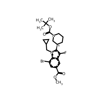 COC(=O)c1cc(Br)c2c(c1)c(F)c([C@@H]1CCCN(C(=O)OC(C)(C)C)C1)n2CC1CC1